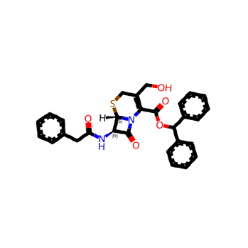 O=C(Cc1ccccc1)N[C@@H]1C(=O)N2C(C(=O)OC(c3ccccc3)c3ccccc3)=C(CO)CS[C@@H]12